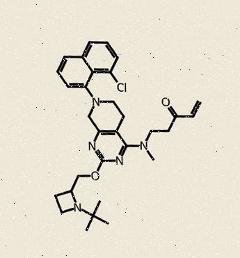 C=CC(=O)CCN(C)c1nc(OCC2CCN2C(C)(C)C)nc2c1CCN(c1cccc3cccc(Cl)c13)C2